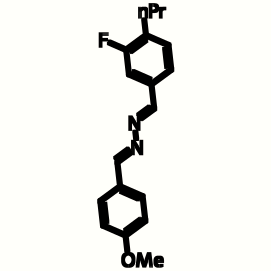 CCCc1ccc(C=NN=Cc2ccc(OC)cc2)cc1F